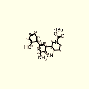 CC(C)(C)OC(=O)N1CCCC(c2cc(-c3ccccc3O)nc(N)c2C#N)C1